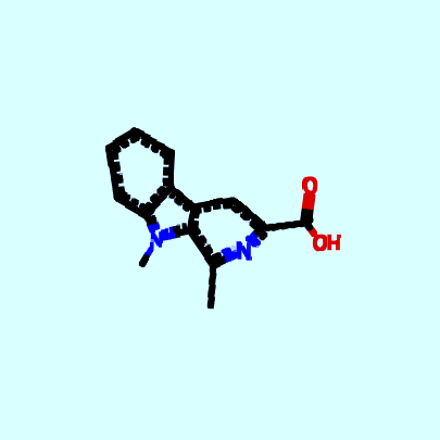 Cc1nc(C(=O)O)cc2c3ccccc3n(C)c12